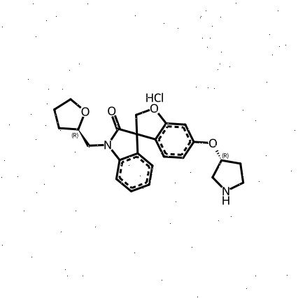 Cl.O=C1N(C[C@H]2CCCO2)c2ccccc2C12COc1cc(O[C@@H]3CCNC3)ccc12